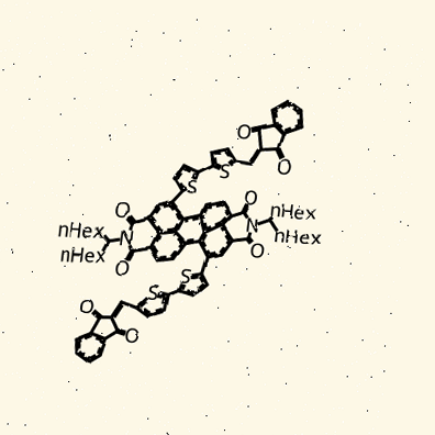 CCCCCCC(CCCCCC)N1C(=O)c2ccc3c4c(-c5ccc(-c6ccc(C=C7C(=O)c8ccccc8C7=O)s6)s5)cc5c6c(ccc(c7c(-c8ccc(-c9ccc(C=C%10C(=O)c%11ccccc%11C%10=O)s9)s8)cc(c2c37)C1=O)c64)C(=O)N(C(CCCCCC)CCCCCC)C5=O